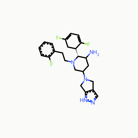 NC1CC(N2Cc3cn[nH]c3C2)CN(CCc2ccccc2F)[C@@H]1C1CC(F)=CC=C1F